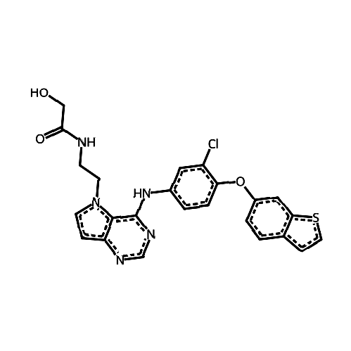 O=C(CO)NCCn1ccc2ncnc(Nc3ccc(Oc4ccc5ccsc5c4)c(Cl)c3)c21